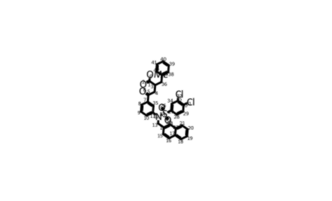 COC(=O)C(CC(=O)c1cccc(N(Cc2ccc3ccccc3c2)S(=O)(=O)c2ccc(Cl)c(Cl)c2)c1)Cc1ccccc1